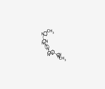 Cc1ccc(Cc2cnc(N3CCN(c4cnn5cc(-c6cnn(C)c6)ccc45)CC3)nc2)nc1